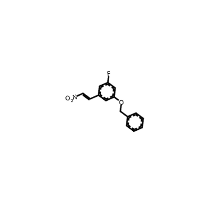 O=[N+]([O-])/C=C/c1cc(F)cc(OCc2ccccc2)c1